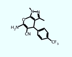 Cc1nn(C)c2c1C(c1ccc(C(F)(F)F)cc1)C(C#N)=C(N)O2